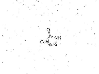 O=c1ccs[nH]1.[CaH2]